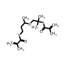 C=C(C)C(=O)SCCC(C)OCC(C)(C)SC(=O)C(=C)C